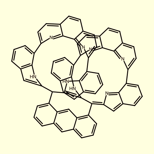 c1cc(-c2c3cc4cccc(c5ccc6ccc7ccc(nc7c6n5)c5cccc6cc2[nH]c65)c4n3)c2cc3c(C4c5cc6cccc(c6[nH]5)-c5ccc6ccc7ccc(nc7c6n5)-c5cccc6cc4[nH]c56)cccc3cc2c1